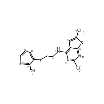 Cc1cc2c(NCCCc3ccccc3O)nc(C(F)(F)F)nc2s1